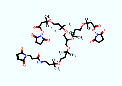 CC(C)(CCNC(=O)CCN1C(=O)C=CC1=O)OCCC(C)(C)OCC(COC(C)(C)CCOC(C)(C)CC(=O)ON1C(=O)CCC1=O)OC(C)(C)CCOC(C)(C)CC(=O)ON1C(=O)CCC1=O